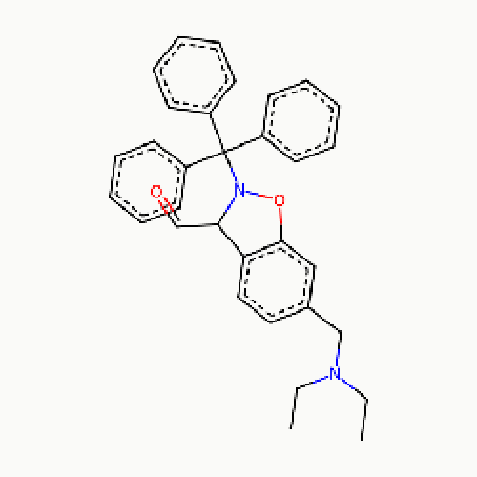 CCN(CC)Cc1ccc2c(c1)ON(C(c1ccccc1)(c1ccccc1)c1ccccc1)C2C=O